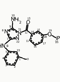 Cc1cccc(Nc2nc(N)n(C(=O)c3cccc(OC(C)C)c3)n2)c1